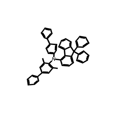 Cc1cc(-c2ccccc2)cc(C)c1N(c1ccc(-c2ccccc2)cc1)c1cccc2c1-c1ccccc1C2(c1ccccc1)c1ccccc1